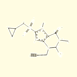 C#CCN1c2nc(S(=O)(=O)CC3CC3)n(C)c2C(=O)N(C)C1O